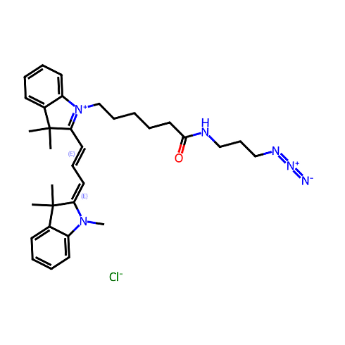 CN1/C(=C/C=C/C2=[N+](CCCCCC(=O)NCCCN=[N+]=[N-])c3ccccc3C2(C)C)C(C)(C)c2ccccc21.[Cl-]